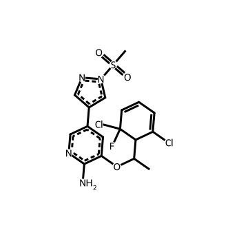 CC(Oc1cc(-c2cnn(S(C)(=O)=O)c2)cnc1N)C1C(Cl)=CC=CC1(F)Cl